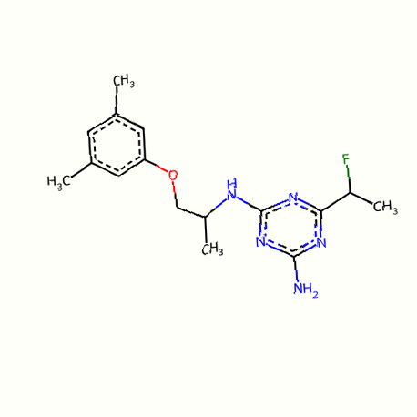 Cc1cc(C)cc(OCC(C)Nc2nc(N)nc(C(C)F)n2)c1